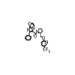 O=C(c1c(-c2ccccc2)nc2occn12)N1CCC[C@H]1COc1ccc(C(F)(F)F)cn1